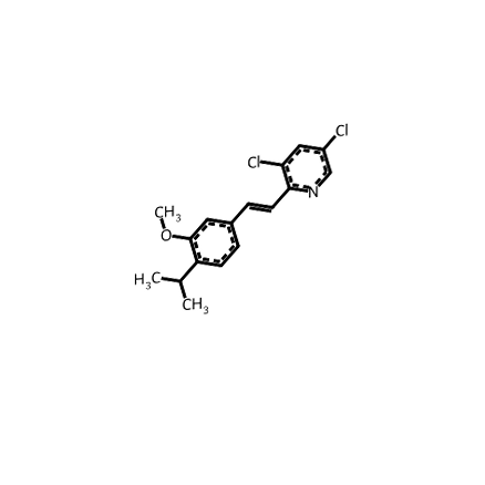 COc1cc(/C=C/c2ncc(Cl)cc2Cl)ccc1C(C)C